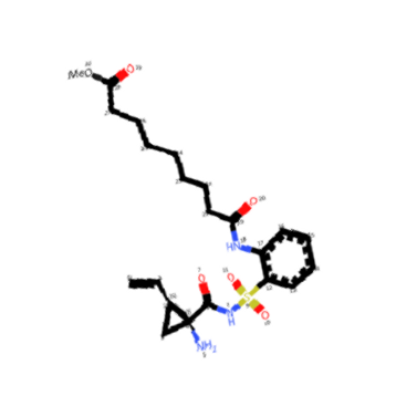 C=C[C@@H]1C[C@@]1(N)C(=O)NS(=O)(=O)c1ccccc1NC(=O)CCCCCCCC(=O)OC